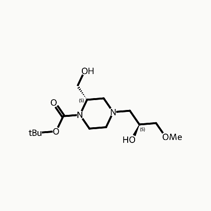 COC[C@@H](O)CN1CCN(C(=O)OC(C)(C)C)[C@H](CO)C1